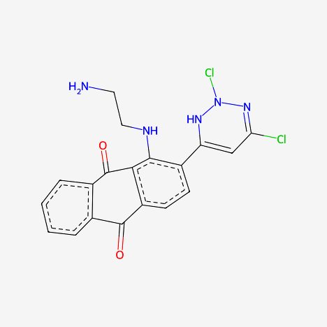 NCCNc1c(C2=CC(Cl)=NN(Cl)N2)ccc2c1C(=O)c1ccccc1C2=O